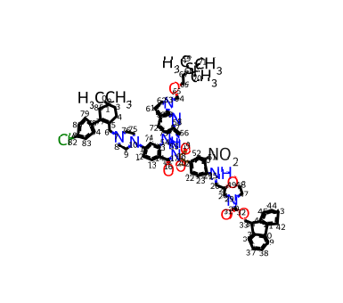 CC1(C)CCC(CN2CCN(c3ccc(C(=O)NS(=O)(=O)c4ccc(NCC5CN(C(=O)OCC6c7ccccc7-c7ccccc76)CCO5)c([N+](=O)[O-])c4)c(-n4ncc5nc6c(ccn6COCC[Si](C)(C)C)cc54)c3)CC2)=C(c2ccc(Cl)cc2)C1